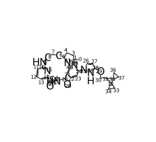 CC1(C)CCC2CCCNc3cccc(n3)[S+]([O-])NC(=O)c3ccc(N4C=CC(OCC5C6(CC6)C56CC6)N4)nc3N21